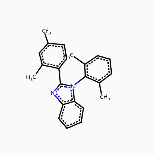 Cc1cc(C(F)(F)F)ccc1-c1nc2ccccc2n1-c1c(C)cccc1C